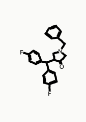 O=C1CN(Cc2ccccc2)CC1C(c1ccc(F)cc1)c1ccc(F)cc1